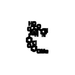 COc1ccc(Oc2ccc(CNC(=O)[C@@H](NC(=O)c3cncnc3)C(C)(C)O)cc2)c(Cl)c1